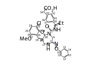 CC[C@@H](NC(=O)N1C/C(=N/Oc2ccccc2)NC[C@@H](Cc2cc(Cl)ccc2OC)C1=O)c1ccc(CC(=O)O)cc1